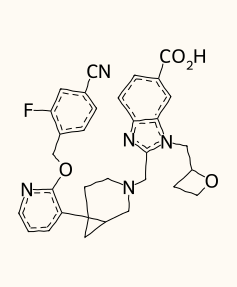 N#Cc1ccc(COc2ncccc2C23CCN(Cc4nc5ccc(C(=O)O)cc5n4CC4CCO4)CC2C3)c(F)c1